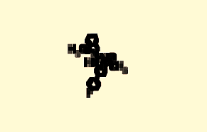 COc1ccccc1CN=C(NOC(C)=O)Nc1cc(-c2ccc(F)cc2)ccn1